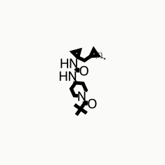 C[C@H]1CC1CC1(NC(=O)NC2CCN(C(=O)C(C)(C)C)CC2)CC1